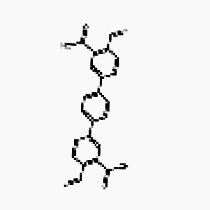 O=Cc1ccc(-c2ccc(-c3ccc(C=O)c(C(=O)O)c3)cc2)cc1C(=O)O